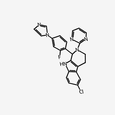 Fc1cc(-n2ccnc2)ccc1C1c2[nH]c3ccc(Cl)cc3c2CCN1c1ncccn1